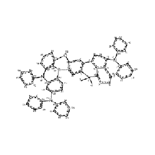 CC1(C)c2cc3c(cc2-c2ccc(N(c4ccccc4)c4ccccc4)c4cccc1c24)Oc1cccc2c1B3c1ccc(N(c3ccccc3)c3ccccc3)cc1N2c1ccccc1